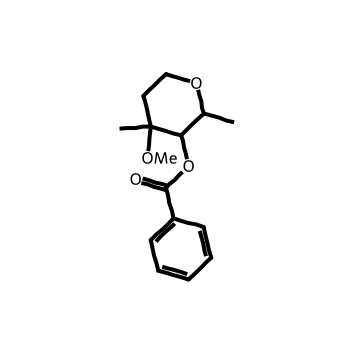 COC1(C)CCOC(C)C1OC(=O)c1ccccc1